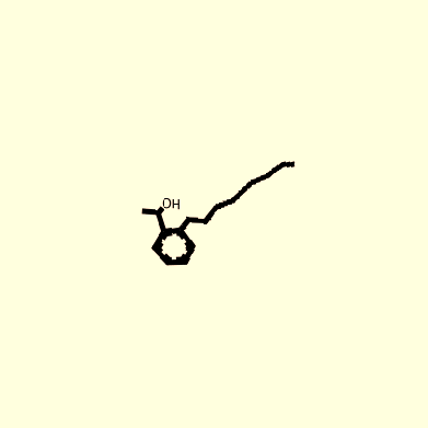 CCCCCCCCc1ccccc1C(C)O